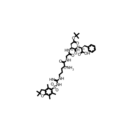 Cc1c(C)c(S(=O)(=O)NC(=N)NCCC[C@H](N)C(=O)NCC(=O)N[C@@H](CC(=O)OC(C)(C)C)C(=O)N[C@@H](Cc2ccccc2)C(=O)O)c(C)c2c1OC(C)(C)C2